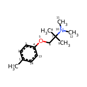 Cc1ccc(OCC(C)(C)N(C)C)cc1